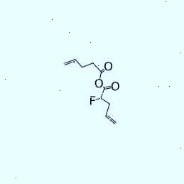 C=CCCC(=O)OC(=O)C(F)CC=C